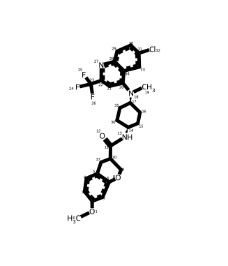 COc1ccc2c(c1)OCC(C(=O)N[C@H]1CC[C@@H](N(C)c3cc(C(F)(F)F)nc4ccc(Cl)cc34)CC1)C2